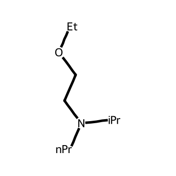 CCCN(CCOCC)C(C)C